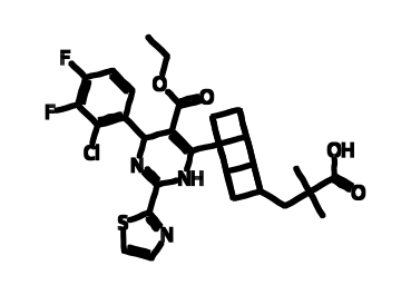 CCOC(=O)C1=C(C23C4C5C2C2C3C4C52CC(C)(C)C(=O)O)NC(c2nccs2)=NC1c1ccc(F)c(F)c1Cl